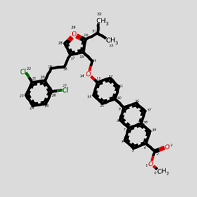 COC(=O)c1ccc2cc(-c3ccc(OCc4c(CCc5c(Cl)cccc5Cl)coc4C(C)C)cc3)ccc2c1